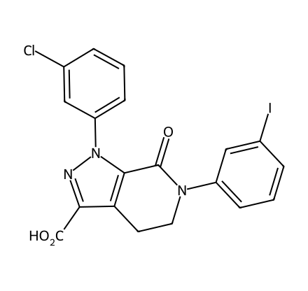 O=C(O)c1nn(-c2cccc(Cl)c2)c2c1CCN(c1cccc(I)c1)C2=O